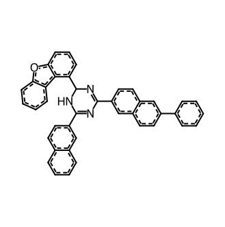 c1ccc(-c2ccc3cc(C4=NC(c5cccc6oc7ccccc7c56)NC(c5ccc6ccccc6c5)=N4)ccc3c2)cc1